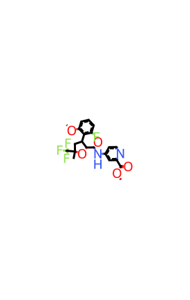 COC(=O)c1cc(NC(=O)C2OC(C)(C(F)(F)F)CC2c2c(F)cccc2OC)ccn1